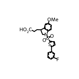 COc1ccc2c(c1)C(CCC(=O)O)CN2S(=O)(=O)c1ccc(-c2cccc(F)c2)s1